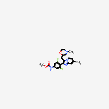 COC(=O)Nc1cc(F)c(-c2nc3cc(C)ccn3c2CC2CN(C)CCO2)c(F)c1